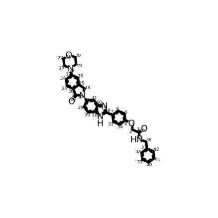 O=C(COc1ccc(-c2nc3cc(N4Cc5cc(N6CCOCC6)ccc5C4=O)ccc3[nH]2)cc1)NCc1ccccc1